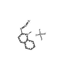 C[n+]1c(N=[N+]=[N-])ccc2ccccc21.F[B-](F)(F)F